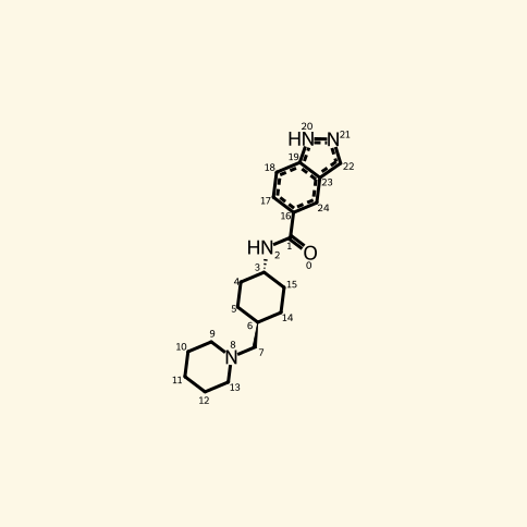 O=C(N[C@H]1CC[C@H](CN2CCCCC2)CC1)c1ccc2[nH]ncc2c1